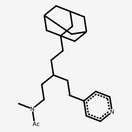 CC(=O)N(C)CCC(C[CH]c1ccncc1)CCC12CC3CC(CC(C3)C1)C2